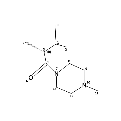 CC(C)[C@@H](C)C(=O)N1CCN(C)CC1